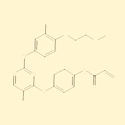 C=CC(=O)NC1=CC=C(Nc2nc(Nc3ccc(OCCOC)c(F)c3)ncc2F)CC1